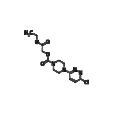 CCOC(=O)COC(=O)N1CCN(c2ccc(Cl)nn2)CC1